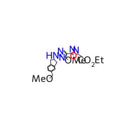 CCOC(=O)Cc1nnc(-c2cnc(NC3Cc4ccc(COC)cc4C3)nc2OC)o1